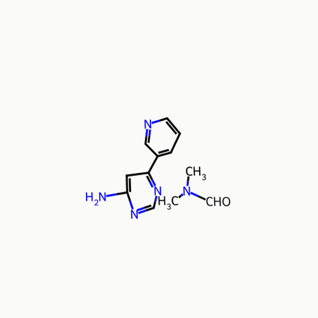 CN(C)C=O.Nc1cc(-c2cccnc2)ncn1